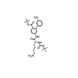 CC(C)(C)OC(=O)NC(CCCCN)C(=O)Nc1ccc(C(=O)OC(C)(C)C)c(-c2cccc(O)c2)c1